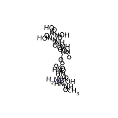 CCC(=O)NCCNC(=O)/N=C(/N)NCCC[C@@H](NC(=O)C(c1ccccc1)c1cccc(OCCCCNC(=O)[C@@H](Cc2ccc(-c3ccccc3)cc2)NC(=O)CCNC(C=O)N2CCN(CC(=O)O)CCN(CC(=O)O)CCN(CC(=O)O)CC2)c1)C(=O)NCc1ccc(O)cc1